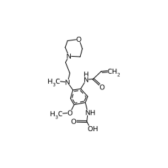 C=CC(=O)Nc1cc(NC(=O)O)c(OC)cc1N(C)CCN1CCOCC1